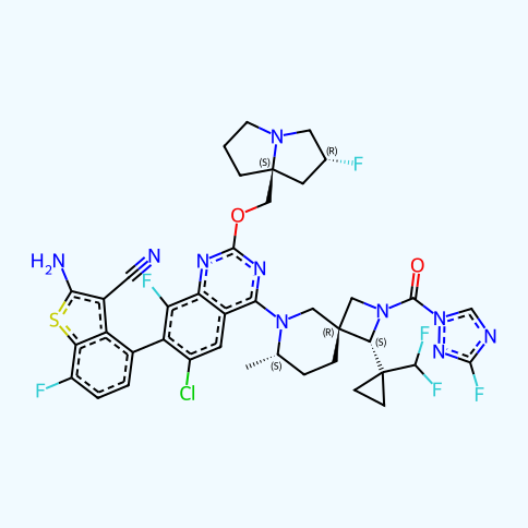 C[C@H]1CC[C@]2(CN(C(=O)n3cnc(F)n3)[C@@H]2C2(C(F)F)CC2)CN1c1nc(OC[C@@]23CCCN2C[C@H](F)C3)nc2c(F)c(-c3ccc(F)c4sc(N)c(C#N)c34)c(Cl)cc12